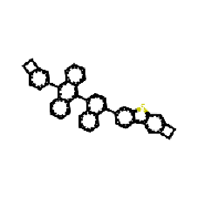 c1ccc2c(-c3c4ccccc4c(-c4ccc5c(c4)CC5)c4ccccc34)ccc(-c3ccc4c(c3)sc3cc5c(cc34)CC5)c2c1